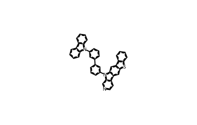 c1cc(-c2cccc(-n3c4cnccc4c4cc5sc6ccccc6c5cc43)c2)cc(-n2c3ccccc3c3ccccc32)c1